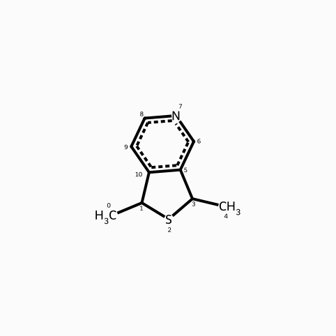 CC1SC(C)c2cnccc21